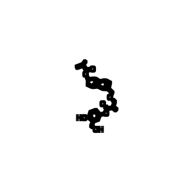 C=C(C)C(=O)OC1CC2CC1C1C3CC(COCC(=C)C(=O)Oc4ccc(O)c(CO)c4)C(C3)C21